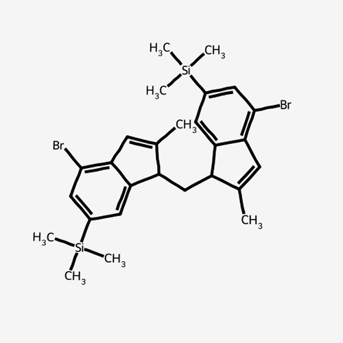 CC1=Cc2c(Br)cc([Si](C)(C)C)cc2C1CC1C(C)=Cc2c(Br)cc([Si](C)(C)C)cc21